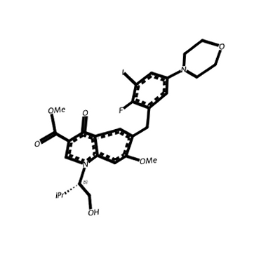 COC(=O)c1cn([C@H](CO)C(C)C)c2cc(OC)c(Cc3cc(N4CCOCC4)cc(I)c3F)cc2c1=O